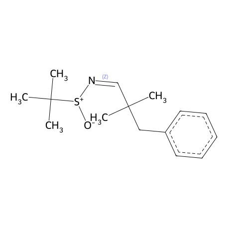 CC(C)(/C=N\[S+]([O-])C(C)(C)C)Cc1ccccc1